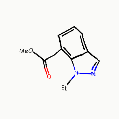 CCn1ncc2cccc(C(=O)OC)c21